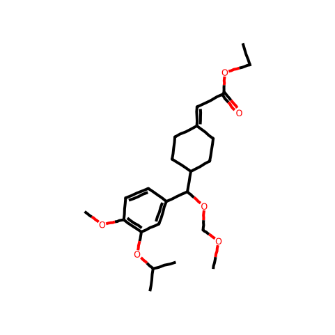 CCOC(=O)C=C1CCC(C(OCOC)c2ccc(OC)c(OC(C)C)c2)CC1